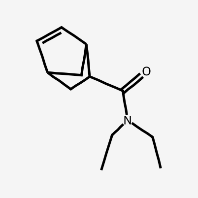 CCN(CC)C(=O)C1CC2C=CC1C2